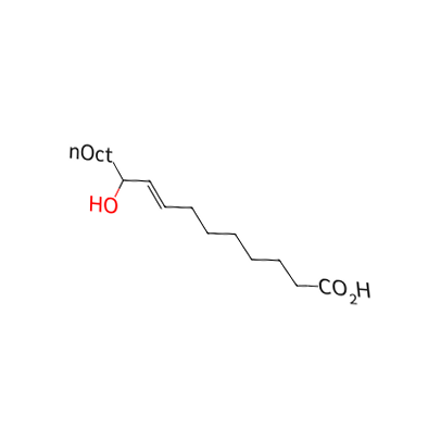 CCCCCCCCC(O)/C=C/CCCCCCC(=O)O